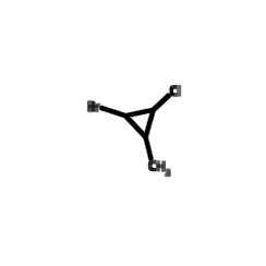 CC1C(Cl)C1Br